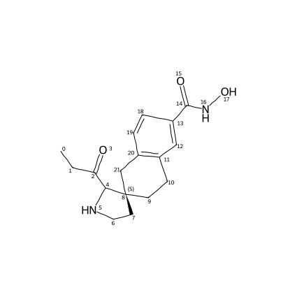 CCC(=O)C1NCC[C@@]12CCc1cc(C(=O)NO)ccc1C2